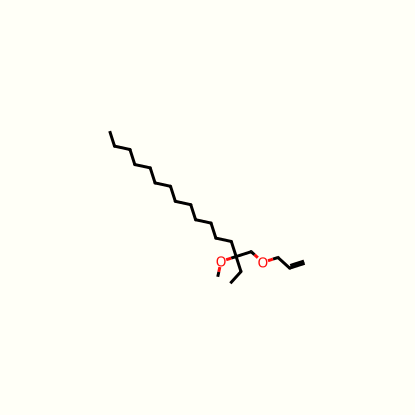 C=CCOCC(CC)(CCCCCCCCCCCCC)OC